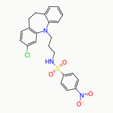 O=[N+]([O-])c1ccc(S(=O)(=O)NCCCN2c3ccccc3CCc3ccc(Cl)cc32)cc1